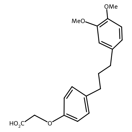 COc1ccc(CCCc2ccc(OCC(=O)O)cc2)cc1OC